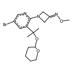 CON=C1CN(c2ncc(Br)cc2C(C)(C)OC2CCCCO2)C1